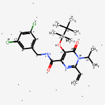 C=Cc1nc(C(=O)NCc2cc(Cl)cc(Cl)c2)c(O[Si](C)(C)C(C)(C)C)c(=O)n1C(C)C